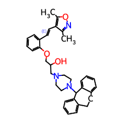 Cc1noc(C)c1/C=C/c1ccccc1OCC(O)CN1CCN(C2c3ccccc3CCc3ccccc32)CC1